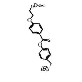 CCCCCCCCCCCCOc1ccc(C(=S)Oc2ccc(C[C@@H](C)CC)cc2)cc1